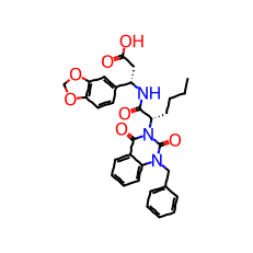 CCCC[C@@H](C(=O)N[C@@H](CC(=O)O)c1ccc2c(c1)OCO2)n1c(=O)c2ccccc2n(Cc2ccccc2)c1=O